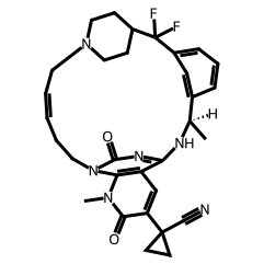 C[C@H]1Nc2nc(=O)n(c3c2cc(C2(C#N)CC2)c(=O)n3C)CC/C=C\CN2CCC(CC2)C(F)(F)c2cccc1c2